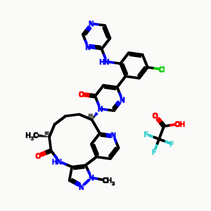 C[C@@H]1CCC[C@H](n2cnc(-c3cc(Cl)ccc3Nc3ccncn3)cc2=O)c2cc(ccn2)-c2c(cnn2C)NC1=O.O=C(O)C(F)(F)F